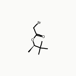 C[C@@H](OC(=O)CBr)C(C)(C)C